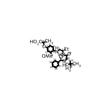 CC[C@H](CNc1ccc(OC(C)C(=O)O)cc1OC)NC(=O)[C@H](CC(C)(C)F)N[C@@H](c1ccccc1)C(F)(F)F